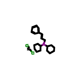 C(=Cc1ccccc1)CP(C1CCCCC1)C1CCCCC1.[Cl][Ni][Cl]